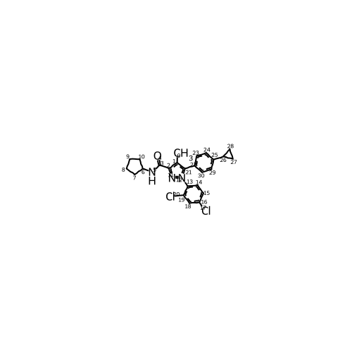 Cc1c(C(=O)NC2CCCC2)nn(-c2ccc(Cl)cc2Cl)c1-c1ccc(C2CC2)cc1